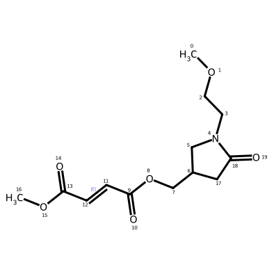 COCCN1CC(COC(=O)/C=C/C(=O)OC)CC1=O